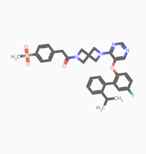 CC(C)c1ccccc1-c1cc(F)ccc1Oc1cncnc1N1CC2(CN(C(=O)Cc3ccc(S(C)(=O)=O)cc3)C2)C1